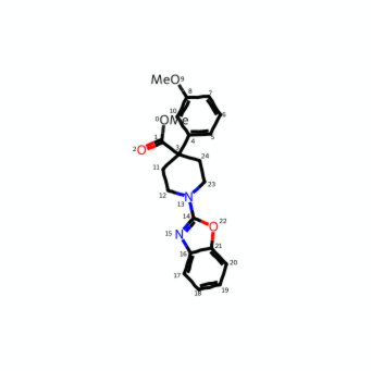 COC(=O)C1(c2cccc(OC)c2)CCN(c2nc3ccccc3o2)CC1